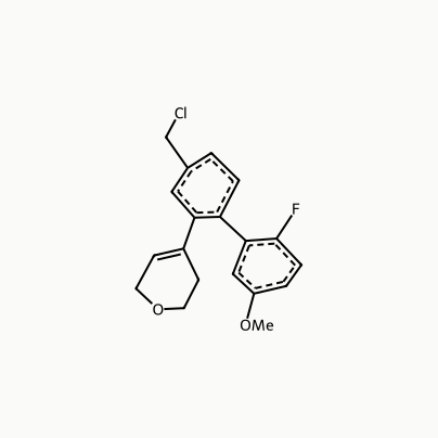 COc1ccc(F)c(-c2ccc(CCl)cc2C2=CCOCC2)c1